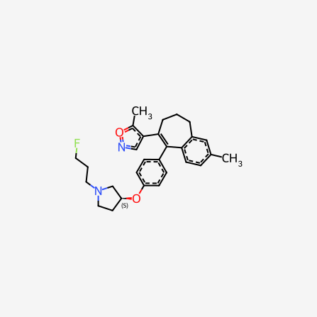 Cc1ccc2c(c1)CCCC(c1cnoc1C)=C2c1ccc(O[C@H]2CCN(CCCF)C2)cc1